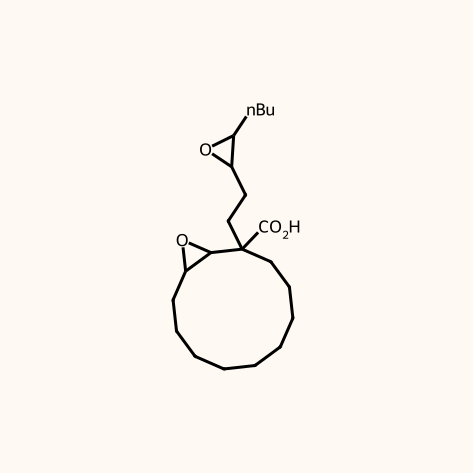 CCCCC1OC1CCC1(C(=O)O)CCCCCCCCCC2OC21